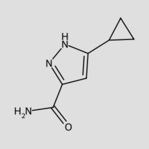 NC(=O)c1cc(C2CC2)[nH]n1